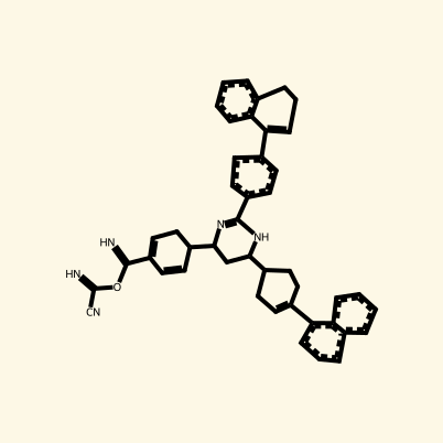 N#CC(=N)OC(=N)C1=CCC(C2CC(C3CC=C(c4cccc5ccccc45)CC3)NC(c3ccc(C4=CCCc5ccccc54)cc3)=N2)C=C1